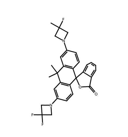 CC1(F)CN(c2ccc3c(c2)C(C)(C)c2cc(N4CC(F)(F)C4)ccc2C32OC(=O)c3ccccc32)C1